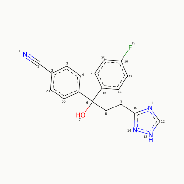 N#Cc1ccc(C(O)(CCc2nc[nH]n2)c2ccc(F)cc2)cc1